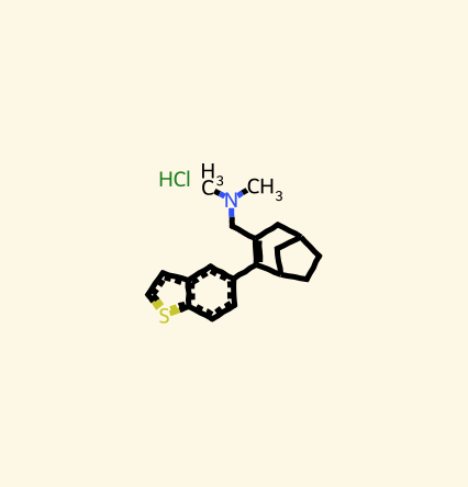 CN(C)CC1=C(c2ccc3sccc3c2)C2CCC(C1)C2.Cl